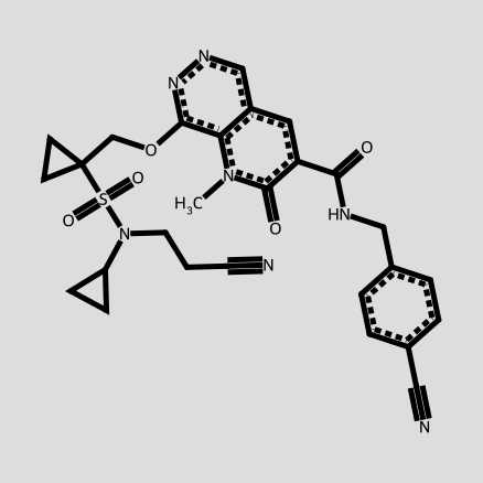 Cn1c(=O)c(C(=O)NCc2ccc(C#N)cc2)cc2cnnc(OCC3(S(=O)(=O)N(CCC#N)C4CC4)CC3)c21